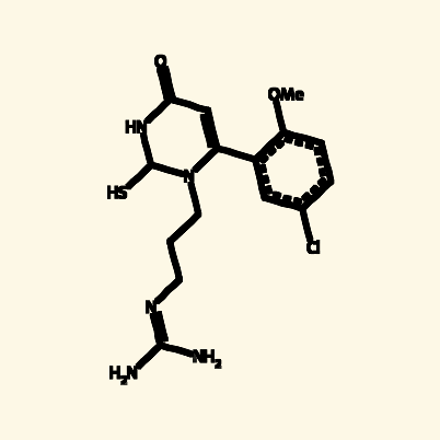 COc1ccc(Cl)cc1C1=CC(=O)NC(S)N1CCCN=C(N)N